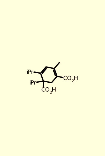 CC1=C(C(=O)O)CC(C(=O)O)(C(C)C)C(C(C)C)=C1